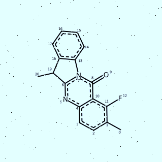 Cc1ccc2nc3n(c(=O)c2c1F)-c1ccccc1C3C